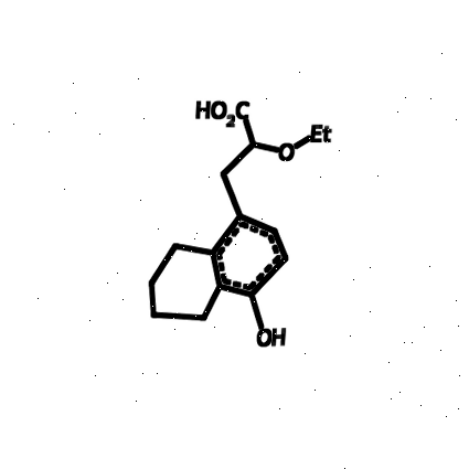 CCOC(Cc1ccc(O)c2c1CCCC2)C(=O)O